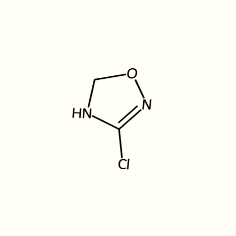 ClC1=NOCN1